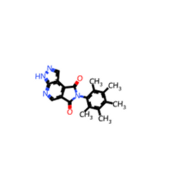 Cc1c(C)c(C)c(N2C(=O)c3cnc4[nH]ncc4c3C2=O)c(C)c1C